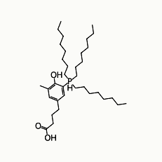 CCCCCCCC[PH](CCCCCCCC)(CCCCCCCC)c1cc(CCCC(=O)O)cc(C)c1O